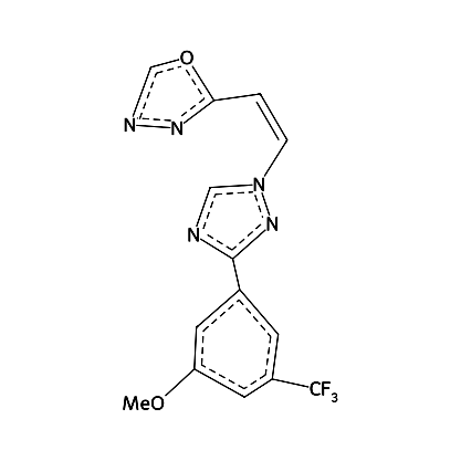 COc1cc(-c2ncn(/C=C\c3nnco3)n2)cc(C(F)(F)F)c1